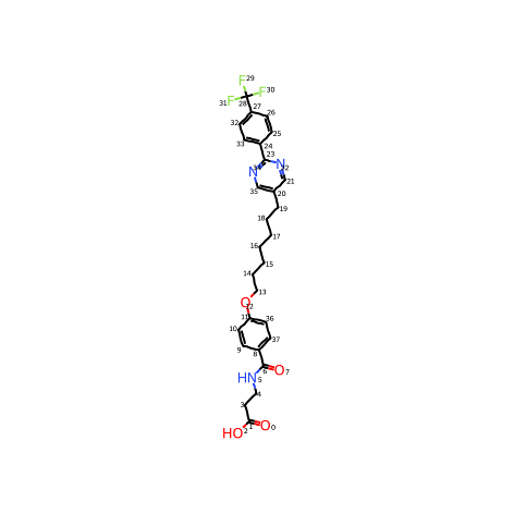 O=C(O)CCNC(=O)c1ccc(OCCCCCCCc2cnc(-c3ccc(C(F)(F)F)cc3)nc2)cc1